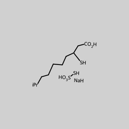 CC(C)CCCCCC(S)CC(=O)O.O=S(=O)(O)S.[NaH]